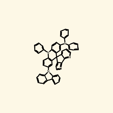 c1ccc(N(c2ccccc2)c2ccc3c(c2)C2(c4cc(-n5c6ccccc6c6ccccc65)ccc4N3c3ccccc3)c3cccnc3-c3ncccc32)cc1